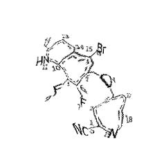 N#Cc1cc(Oc2c(F)c(F)c3[nH]ccc3c2Br)ccn1